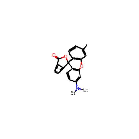 CCN(CC)c1ccc2c(c1)Oc1cc(C)ccc1C21OC(=O)c2ccccc21